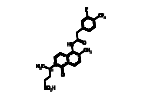 Cc1ccc2c(=O)n([C@H](C)CCS(=O)(=O)O)ccc2c1NC(=O)Cc1ccc(C(F)(F)F)c(F)c1